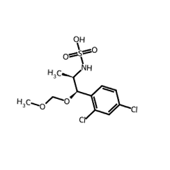 COCO[C@H](c1ccc(Cl)cc1Cl)[C@@H](C)NS(=O)(=O)O